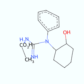 CC(=O)O.N=C(N)N(c1ccccc1)C1CCCCC1O